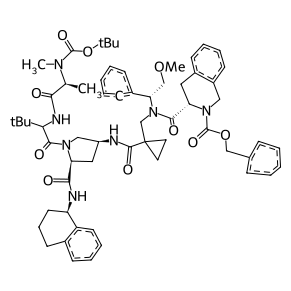 COC[C@@H](c1ccccc1)N(CC1(C(=O)N[C@H]2C[C@@H](C(=O)N[C@@H]3CCCc4ccccc43)N(C(=O)C(NC(=O)[C@H](C)N(C)C(=O)OC(C)(C)C)C(C)(C)C)C2)CC1)C(=O)[C@@H]1Cc2ccccc2CN1C(=O)OCc1ccccc1